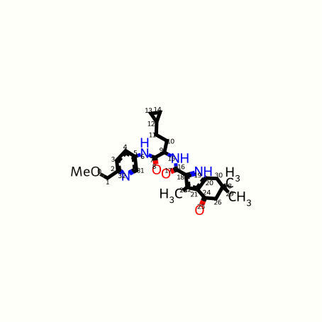 COCc1ccc(NC(=O)C(CCC2CC2)NC(=O)c2[nH]c3c(c2C)C(=O)CC(C)(C)C3)cn1